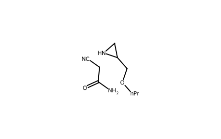 CCCOCC1CN1.N#CCC(N)=O